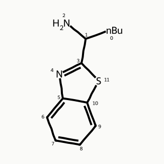 CCCCC(N)c1nc2ccccc2s1